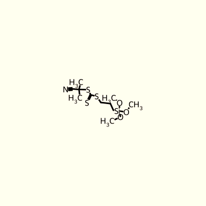 CO[Si](CCCSC(=S)SC(C)(C)C#N)(OC)OC